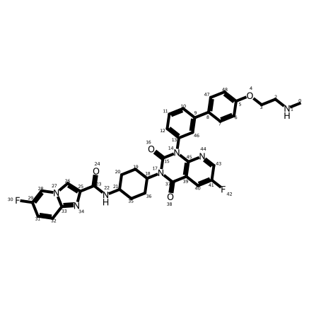 CNCCOc1ccc(-c2cccc(-n3c(=O)n(C4CCC(NC(=O)c5cn6cc(F)ccc6n5)CC4)c(=O)c4cc(F)cnc43)c2)cc1